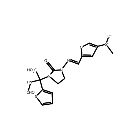 C[S+]([O-])c1coc(C=NN2CCN(C(NC=O)(C(=O)O)c3cccs3)C2=O)c1